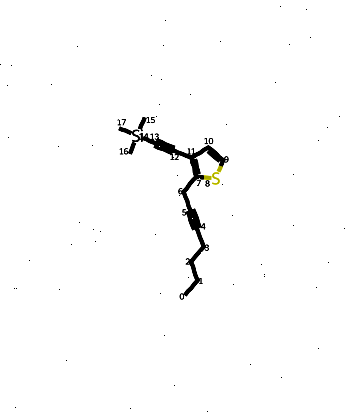 CCCCC#CCc1sccc1C#C[Si](C)(C)C